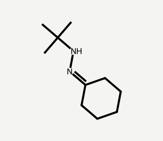 CC(C)(C)NN=C1CCCCC1